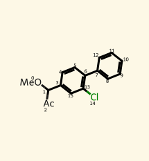 COC(C(C)=O)c1ccc(-c2ccccc2)c(Cl)c1